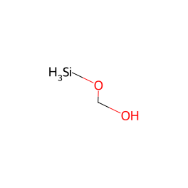 OCO[SiH3]